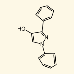 Oc1cn(-c2ccccc2)nc1-c1ccccc1